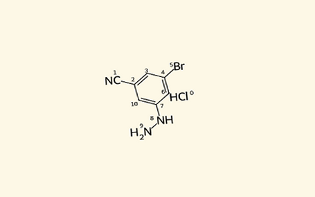 Cl.N#Cc1cc(Br)cc(NN)c1